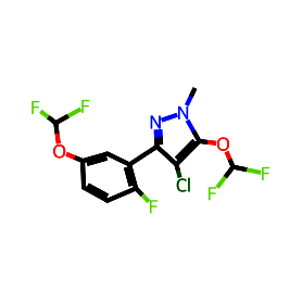 Cn1nc(-c2cc(OC(F)F)ccc2F)c(Cl)c1OC(F)F